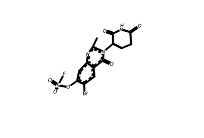 Cc1nc2cc(OS(=O)(=O)F)c(Br)cc2c(=O)n1C1CCC(=O)NC1=O